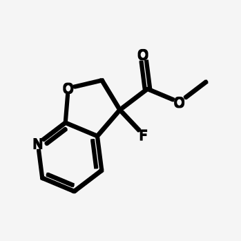 COC(=O)C1(F)COc2ncccc21